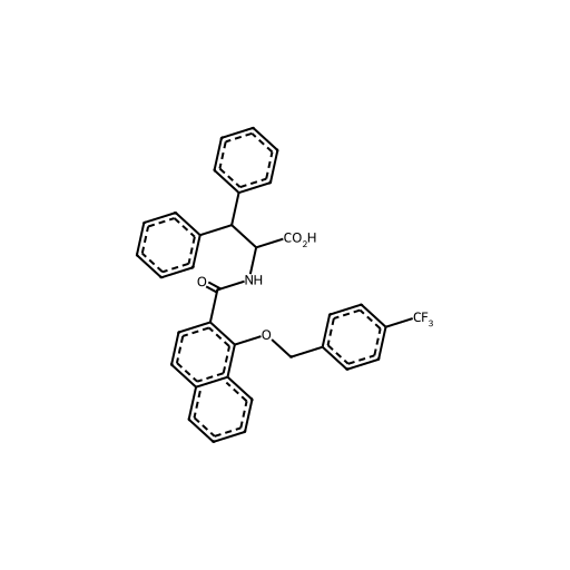 O=C(NC(C(=O)O)C(c1ccccc1)c1ccccc1)c1ccc2ccccc2c1OCc1ccc(C(F)(F)F)cc1